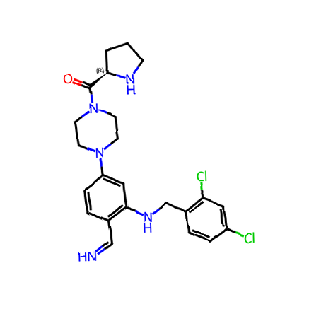 N=Cc1ccc(N2CCN(C(=O)[C@H]3CCCN3)CC2)cc1NCc1ccc(Cl)cc1Cl